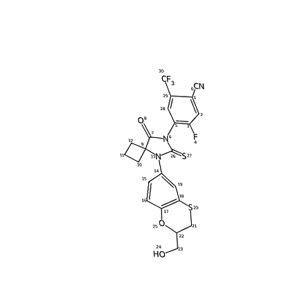 N#Cc1cc(F)c(N2C(=O)C3(CCC3)N(c3ccc4c(c3)SCC(CO)O4)C2=S)cc1C(F)(F)F